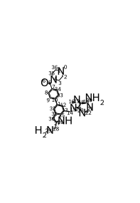 CN1CCN(C(=O)c2ccc(-c3cc(Cn4cnc5c(N)ncnc54)c4[nH]c(CN)cc4c3)cc2)CC1